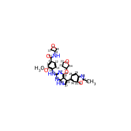 COc1cc(C(=O)NC2COC2)ccc1Nc1nc(OC2CCOC2)c2c(-c3ccc4nc(C)oc4c3)c[nH]c2n1